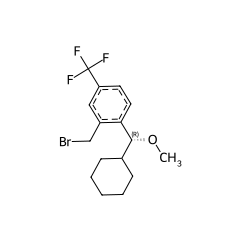 CO[C@@H](c1ccc(C(F)(F)F)cc1CBr)C1CCCCC1